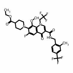 CCOC(=O)C1CCN(c2c(F)cc3c(=O)c(C(=O)NCc4ccc(C(F)(F)F)cc4C)cn(CC(F)(F)F)c3c2OC)CC1